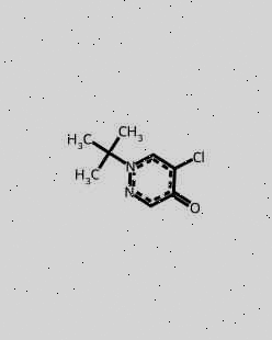 CC(C)(C)n1cc(Cl)c(=O)cn1